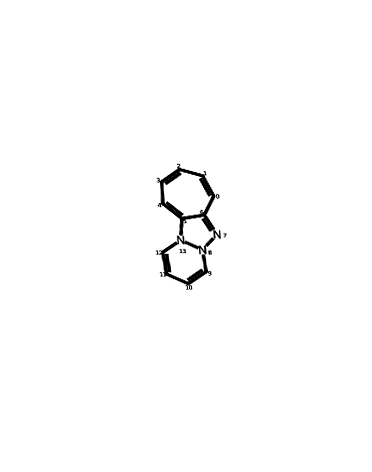 [C]1=CC=CC=C2C1=NN1C=CC=CN21